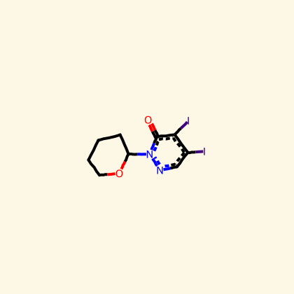 O=c1c(I)c(I)cnn1C1CCCCO1